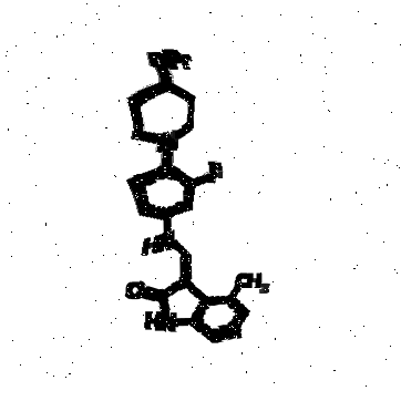 CCCC1CCN(c2ccc(NC=C3C(=O)Nc4cccc(C)c43)cc2F)CC1